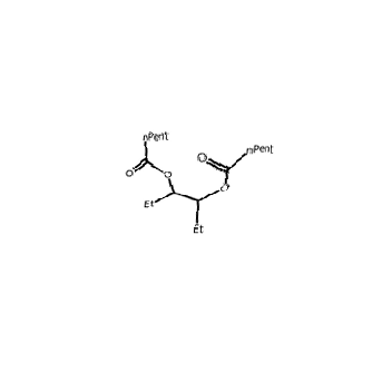 CCCCCC(=O)OC(CC)C(CC)OC(=O)CCCCC